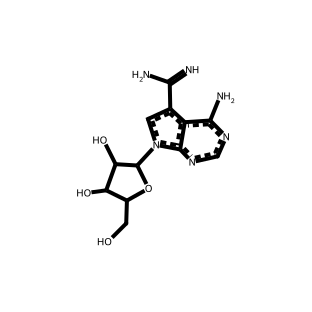 N=C(N)c1cn(C2OC(CO)C(O)C2O)c2ncnc(N)c12